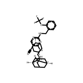 N#Cc1cnc(NCc2ccccc2OC(F)(F)F)nc1NC[C@]12CC3C[C@H](C1)[C@@H](N[C@H]1CC[C@@H](N)CC1)[C@@H](C3)C2